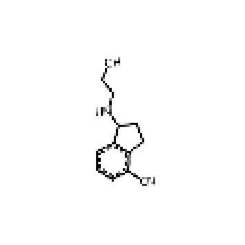 N#Cc1cccc2c1CCC2NCCO